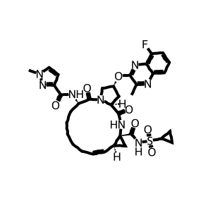 Cc1nc2cccc(F)c2nc1O[C@@H]1C[C@H]2C(=O)N[C@]3(C(=O)NS(=O)(=O)C4CC4)C[C@H]3C=CCCCCC[C@H](NC(=O)c3ccn(C)n3)C(=O)N2C1